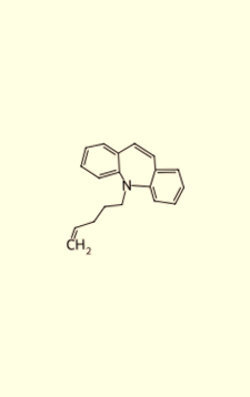 C=CCCCN1c2ccccc2C=Cc2ccccc21